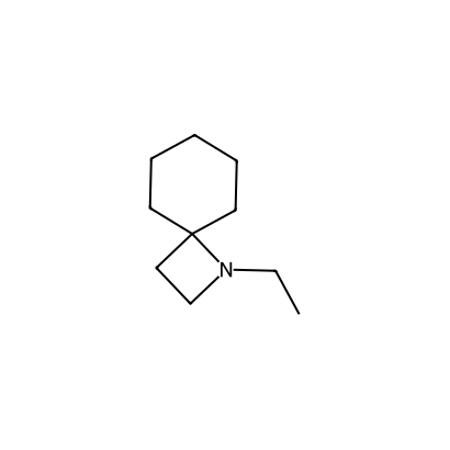 CCN1CCC12CCCCC2